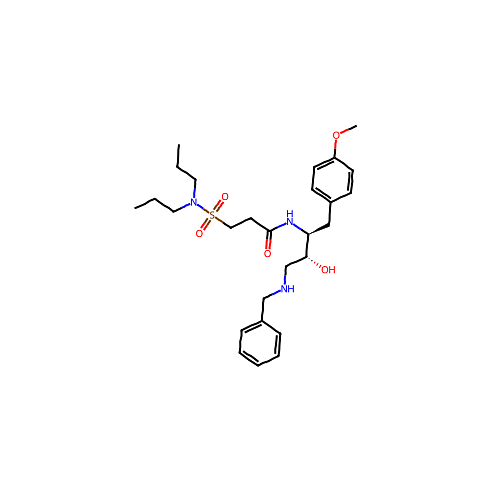 CCCN(CCC)S(=O)(=O)CCC(=O)N[C@@H](Cc1ccc(OC)cc1)[C@H](O)CNCc1ccccc1